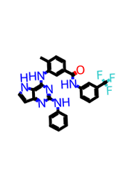 Cc1ccc(C(=O)Nc2cccc(C(F)(F)F)c2)cc1Nc1nc(Nc2ccccc2)nc2cc[nH]c12